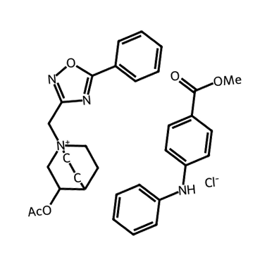 CC(=O)OC1C[N+]2(Cc3noc(-c4ccccc4)n3)CCC1CC2.COC(=O)c1ccc(Nc2ccccc2)cc1.[Cl-]